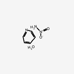 N[N+](=O)[O-].O.c1ccncc1